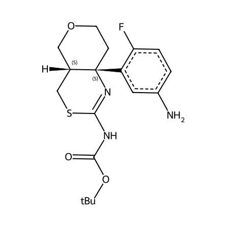 CC(C)(C)OC(=O)NC1=N[C@@]2(c3cc(N)ccc3F)CCOC[C@H]2CS1